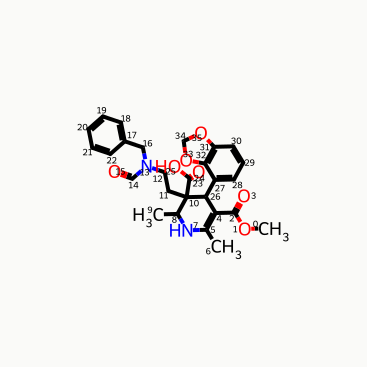 COC(=O)C1=C(C)NC(C)C(CCN(C=O)Cc2ccccc2)(C(=O)O)C1c1cccc2c1OCO2